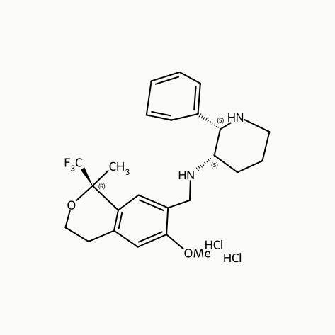 COc1cc2c(cc1CN[C@H]1CCCN[C@H]1c1ccccc1)[C@](C)(C(F)(F)F)OCC2.Cl.Cl